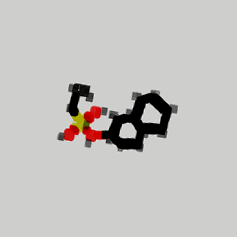 CCS(=O)(=O)Oc1ccc2ccccc2c1